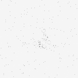 CCOc1ccc(OC)cc1C1(N2CCCN(c3ccnc(C)c3)CC2)C(=O)N(S(=O)(=O)c2ccc(OC)cc2OC)c2ccc(C#N)cc21